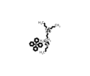 CCCCOP(=O)(OCCCC)OCCCC.CCCC[n+]1ccn(C)c1.c1ccc([B-](c2ccccc2)(c2ccccc2)c2ccccc2)cc1